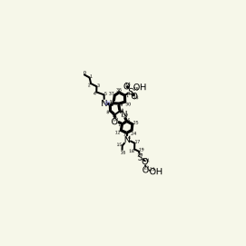 CCCCCC/N=c1/cc2oc3cc(N(CC)CCCSOOO)ccc3nc-2c2cc(S(=O)(=O)O)ccc12